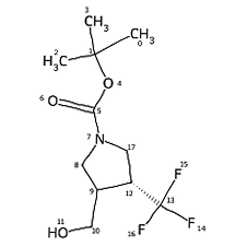 CC(C)(C)OC(=O)N1CC(CO)[C@@H](C(F)(F)F)C1